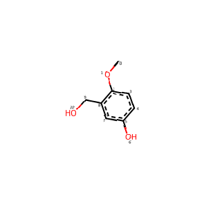 COc1ccc(O)cc1CO